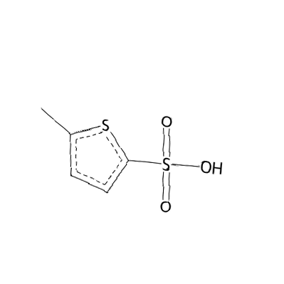 Cc1ccc(S(=O)(=O)O)s1